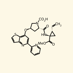 C=C[C@@H]1C[C@]1(NC(=O)[C@@H]1C[C@@H](Oc2cc(-c3ccccn3)nc3ccsc23)CN1C(=O)O)C(=O)OC